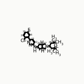 CC1(C)CC(N2C[C@H]3CC(Nc4ccc(-c5cc(F)ccc5Cl)nn4)C[C@H]3C2)CC(C)(C)O1